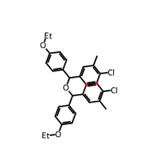 CCOc1ccc(C(OC(c2ccc(OCC)cc2)c2ccc(Cl)c(C)c2)c2ccc(Cl)c(C)c2)cc1